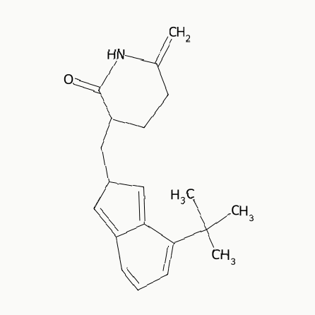 C=C1CCC(CC2C=c3cccc(C(C)(C)C)c3=C2)C(=O)N1